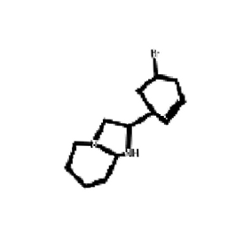 BrC1CC=CC(C2CN3CCCCC3N2)C1